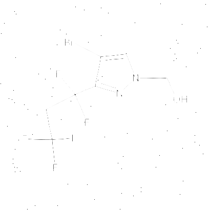 OCn1cc(Br)c(C(F)(F)CC(F)(F)F)n1